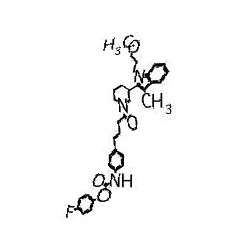 COCCCn1c(C2CCCN(C(=O)CCCc3ccc(NC(=O)Oc4ccc(F)cc4)cc3)C2)c(C)c2ccccc21